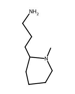 CN1CCCCC1CCCN